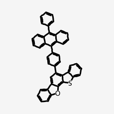 c1ccc(-c2c3ccccc3c(-c3ccc(-c4cc5c6ccccc6oc5c5sc6ccccc6c45)cc3)c3ccccc23)cc1